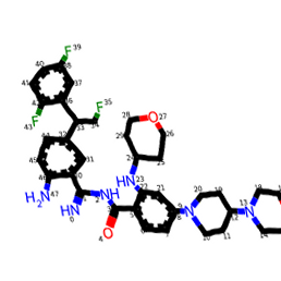 N=C(NC(=O)c1ccc(N2CCC(N3CCOCC3)CC2)cc1NC1CCOCC1)c1cc(C(CF)c2cc(F)ccc2F)ccc1N